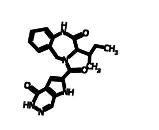 CCC(C)C1C(=O)Nc2ccccc2CN1C(=O)c1cc2c(=O)[nH]ncc2[nH]1